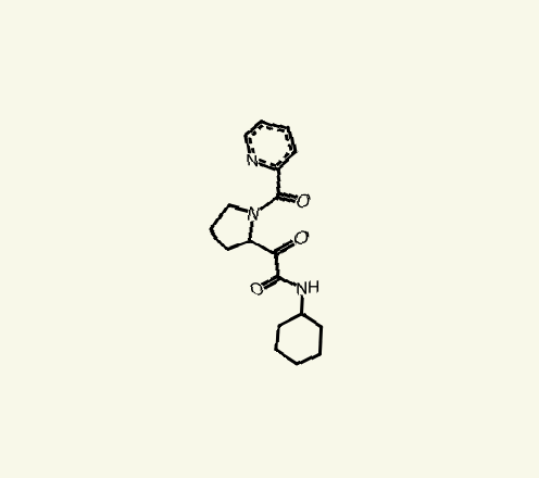 O=C(NC1CCCCC1)C(=O)C1CCCN1C(=O)c1ccccn1